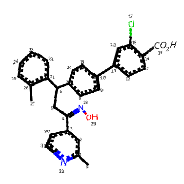 Cc1cc(C(CC(c2ccc(-c3ccc(C(=O)O)c(Cl)c3)cc2)c2ccccc2C)=NO)ccn1